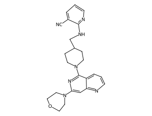 N#Cc1cccnc1NCC1CCN(c2nc(N3CCOCC3)cc3ncccc23)CC1